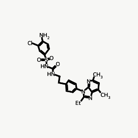 CCc1nc2c(C)cc(C)nc2n1-c1ccc(CCNC(=O)NS(=O)(=O)c2ccc(N)c(Cl)c2)cc1